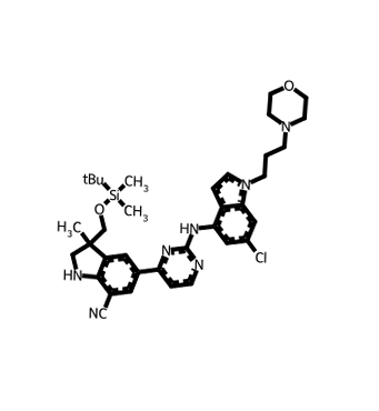 CC1(CO[Si](C)(C)C(C)(C)C)CNc2c(C#N)cc(-c3ccnc(Nc4cc(Cl)cc5c4ccn5CCCN4CCOCC4)n3)cc21